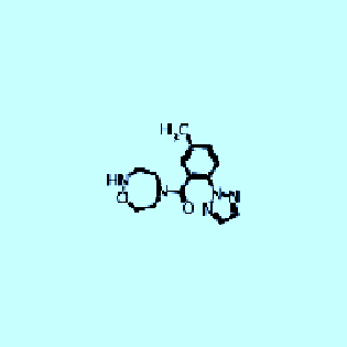 Cc1ccc(-n2nccn2)c(C(=O)N2CCNOCC2)c1